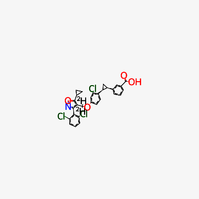 [2H]C([2H])(Oc1ccc([C@H]2C[C@H]2c2cccc(C(=O)O)c2)c(Cl)c1)c1c(-c2c(Cl)cccc2Cl)noc1C1CC1